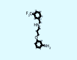 Nc1cccc(OCCCNCc2cccc(C(F)(F)F)c2)c1